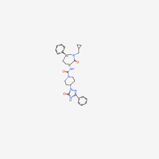 O=C(N[C@@H]1CC[C@@H](c2ccccc2)CN(CC2CC2)C1=O)N1CCC(n2nc(-c3ccccc3)[nH]c2=O)CC1